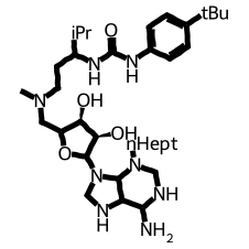 CCCCCCCN1CNC(N)C2NCN(C3OC(CN(C)CCC(NC(=O)Nc4ccc(C(C)(C)C)cc4)C(C)C)[C@@H](O)[C@H]3O)C21